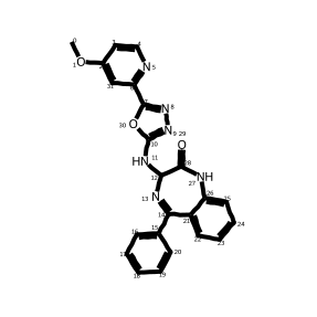 COc1ccnc(-c2nnc(NC3N=C(c4ccccc4)c4ccccc4NC3=O)o2)c1